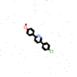 COc1ccc(-c2ccc(-c3ccc(Cl)cc3)cn2)cc1